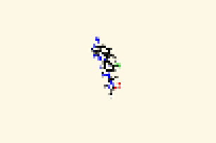 C=CC(=O)N1CC(n2cnc3cc(-c4c(C)ccc5[nH]nc(N)c45)c(Cl)cc32)C1